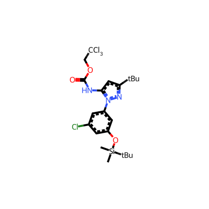 CC(C)(C)c1cc(NC(=O)OCC(Cl)(Cl)Cl)n(-c2cc(Cl)cc(O[Si](C)(C)C(C)(C)C)c2)n1